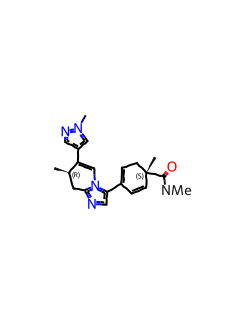 CNC(=O)[C@]1(C)C=CC(c2cnc3n2C=C(c2cnn(C)c2)[C@H](C)C3)=CC1